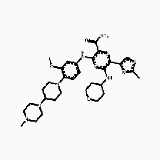 COc1cc(Nc2nc(NC3CCOCC3)c(-c3csc(C)n3)nc2C(N)=O)ccc1N1CCC(N2CCN(C)CC2)CC1